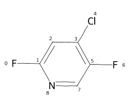 Fc1cc(Cl)c(F)cn1